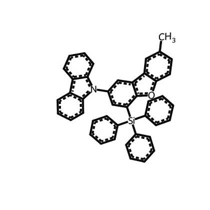 Cc1ccc2oc3c([Si](c4ccccc4)(c4ccccc4)c4ccccc4)cc(-n4c5ccccc5c5ccccc54)cc3c2c1